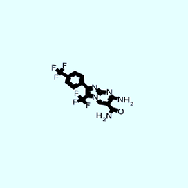 NC(=O)c1cn2c(C(F)(F)F)c(-c3ccc(C(F)(F)F)cc3)nc2nc1N